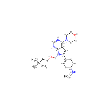 C[Si](C)(C)CCOCn1c(C2=CCC(NC(=O)O)CC2)cc2c(N3CCOCC3)ncnc21